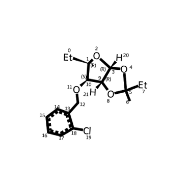 CC[C@H]1O[C@@H]2OC(C)(CC)O[C@@H]2[C@H]1OCc1ccccc1Cl